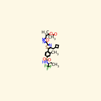 CC[C@H](NS(=O)(=O)c1ccc(-c2sc(-c3nnc(CC(C)(C)OC=O)o3)nc2CC2CCC2)c(C)c1)C(F)(F)F